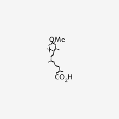 CO[C@@H]1CC(C)=C(C=CC(C)=CC=CC(C)=CC(=O)O)C(C)(C)C1